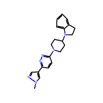 Cn1cc(-c2ccc(N3CCC(N4CCc5ccccc54)CC3)nn2)cn1